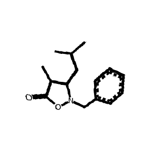 CC(C)CC1C(C)C(=O)ON1Cc1ccccc1